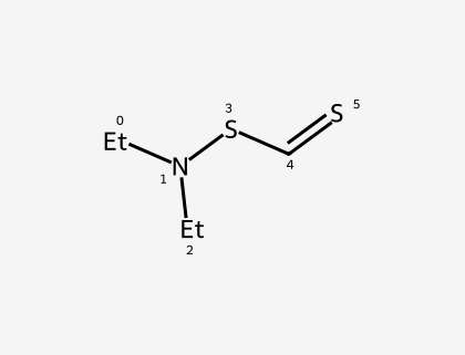 CCN(CC)SC=S